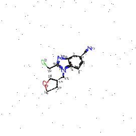 N#Cc1ccc2c(c1)nc(CCl)n2C[C@H]1CCOC1